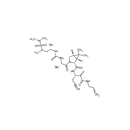 C#CCC(NC(=O)[C@@H]1[C@@H]2[C@H](CN1C(=O)[C@@H](NC(=O)N[C@H](CN(C)S(=O)(=O)N(C)C)C(C)(C)C)C(C)(C)C)C2(C)C)C(=O)C(=O)NCC=C